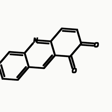 O=C1C=Cc2nc3ccccc3cc2C1=O